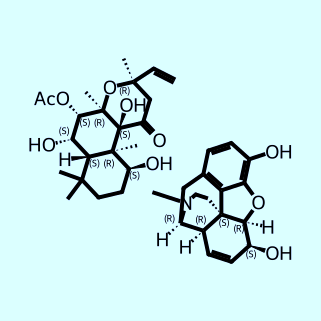 C=C[C@@]1(C)CC(=O)[C@]2(O)[C@@]3(C)[C@@H](O)CCC(C)(C)[C@@H]3[C@H](O)[C@H](OC(C)=O)[C@@]2(C)O1.CN1CC[C@]23c4c5ccc(O)c4O[C@H]2[C@@H](O)C=C[C@H]3[C@H]1C5